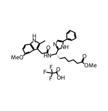 COC(=O)CCCCC[C@H](NC(=O)Cc1c(C)[nH]c2ccc(OC)cc12)c1ncc(-c2ccccc2)[nH]1.O=C(O)C(F)(F)F